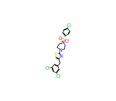 O=S(=O)(c1ccc(Cl)cc1)N1CCN(c2nc(Cc3cc(Cl)cc(Cl)c3)cs2)CC1